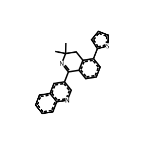 CC1(C)Cc2c(cccc2-c2cccs2)C(c2cnc3ccccc3c2)=N1